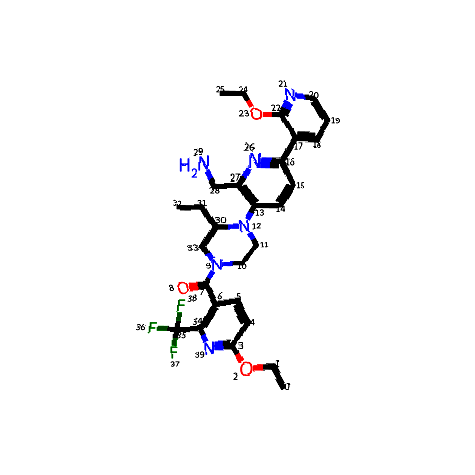 CCOc1ccc(C(=O)N2CCN(c3ccc(-c4cccnc4OCC)nc3CN)C(CC)C2)c(C(F)(F)F)n1